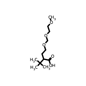 COCCOCOCCC(C(=O)O)C(C)(C)C